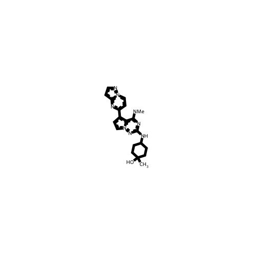 CNc1nc(NC2CCC(C)(O)CC2)nn2ccc(-c3ccn4nccc4n3)c12